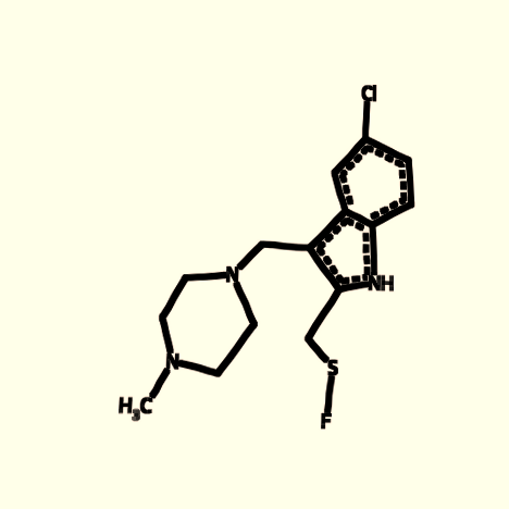 CN1CCN(Cc2c(CSF)[nH]c3ccc(Cl)cc23)CC1